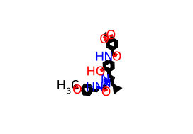 COc1ccc(CNC(=O)n2nc(-c3ccc(NC(=O)c4ccc5c(c4)OCO5)cc3O)cc2C2CC2)cc1